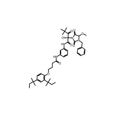 CCC(C)(C)c1ccc(OCCCC(=O)Nc2cccc(NC(=O)C(Cl)(C(=O)C(C)(C)C)N3C(=O)C(OC)N(Cc4ccccc4)C3=O)c2)c(C(C)(C)CC)c1